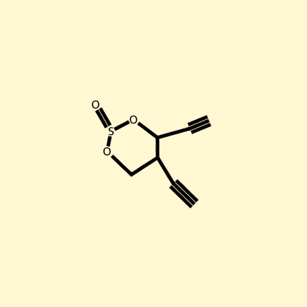 C#CC1COS(=O)OC1C#C